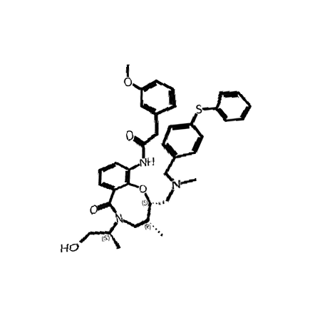 COc1cccc(CC(=O)Nc2cccc3c2O[C@H](CN(C)Cc2ccc(Sc4ccccc4)cc2)[C@H](C)CN([C@@H](C)CO)C3=O)c1